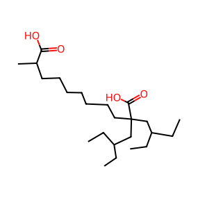 CCC(CC)CC(CCCCCCCC(C)C(=O)O)(CC(CC)CC)C(=O)O